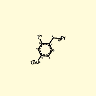 CC(C)Cc1ccc(C(C)(C)C)cc1F